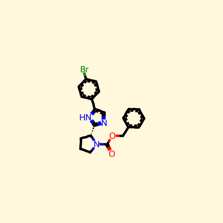 O=C(OCc1ccccc1)N1CCC[C@@H]1c1ncc(-c2ccc(Br)cc2)[nH]1